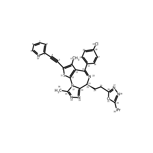 Cc1c(C#Cc2ccccn2)sc2c1C(c1ccc(Cl)cc1)=N[C@@H](CCc1nnc(C(C)C)o1)c1nnc(C)n1-2